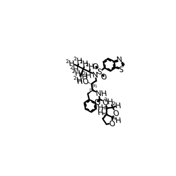 [2H]C([2H])([2H])C([2H])(C([2H])([2H])[2H])C([2H])([2H])N(C[C@@H](O)[C@H](Cc1ccccc1)NC(=O)O[C@]1([2H])[C@@H]2CCO[C@@H]2OC1([2H])[2H])S(=O)(=O)c1ccc2ncsc2c1